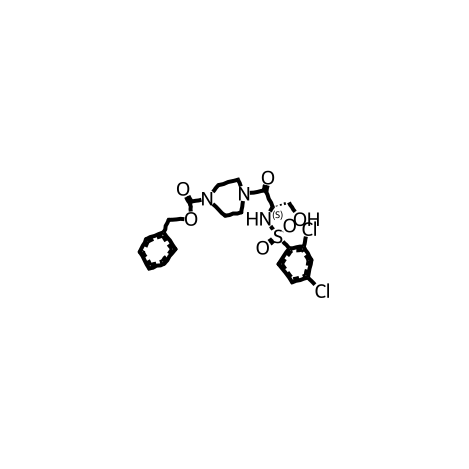 O=C(OCc1ccccc1)N1CCN(C(=O)[C@H](CO)NS(=O)(=O)c2ccc(Cl)cc2Cl)CC1